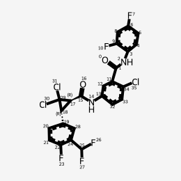 O=C(Nc1ccc(F)cc1F)c1cc(NC(=O)[C@H]2[C@H](c3ccc(F)c(C(F)F)c3)C2(Cl)Cl)ccc1Cl